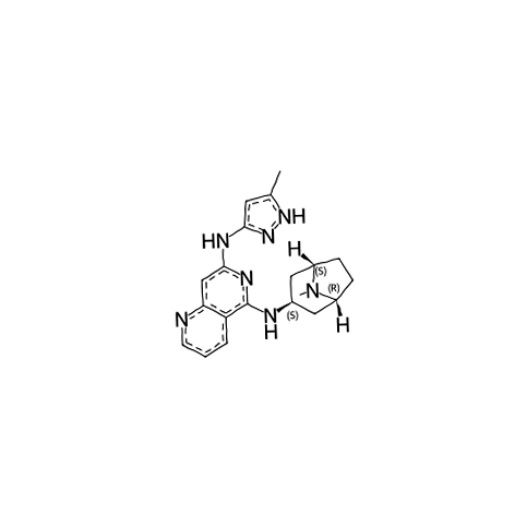 Cc1cc(Nc2cc3ncccc3c(N[C@@H]3C[C@H]4CC[C@@H](C3)N4C)n2)n[nH]1